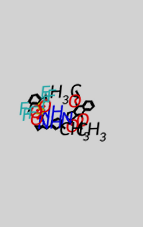 CCOc1c2c(c(OCC)c3ccccc13)C(=O)N(c1ccc(CC3(NC(=O)NS(=O)(=O)c4c(C(F)(F)F)cccc4C(F)(F)F)CC3)cc1C)C2